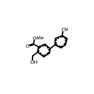 COC(=O)c1cc(-c2cccc(C#N)c2)ccc1CO